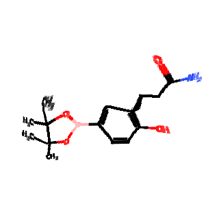 CC1(C)OB(c2ccc(O)c(CCC(N)=O)c2)OC1(C)C